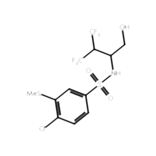 CSc1cc(S(=O)(=O)NC(CO)C(C(F)(F)F)C(F)(F)F)ccc1Cl